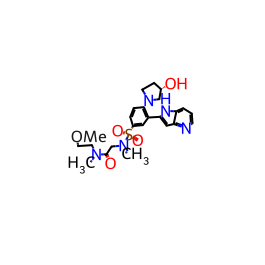 COCCN(C)C(=O)CN(C)S(=O)(=O)c1ccc(N2CC[C@H](O)C2)c(-c2cc3ncccc3[nH]2)c1